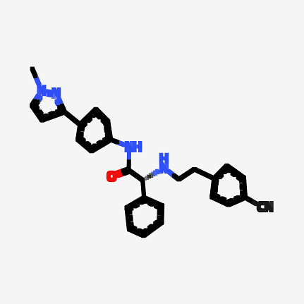 Cn1ccc(-c2ccc(NC(=O)[C@H](NCCc3ccc(C#N)cc3)c3ccccc3)cc2)n1